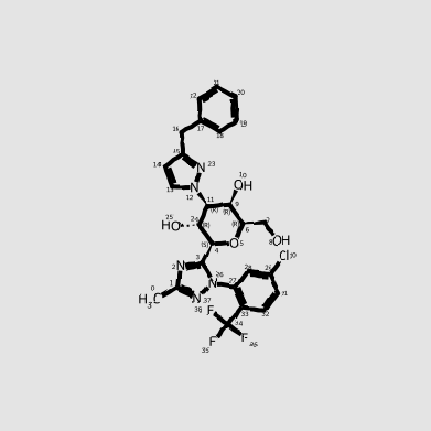 Cc1nc([C@@H]2O[C@H](CO)[C@H](O)[C@H](n3ccc(Cc4ccccc4)n3)[C@H]2O)n(-c2cc(Cl)ccc2C(F)(F)F)n1